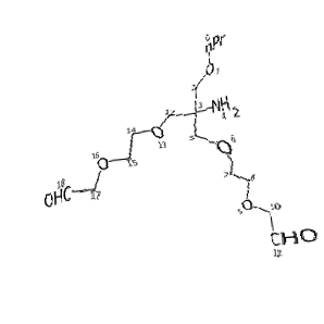 CCCOCC(N)(COCCOCC=O)COCCOCC=O